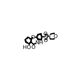 O=C1Nc2cc(S(=O)(=O)N3CCOCC3)ccc2Oc2cccc(O)c21